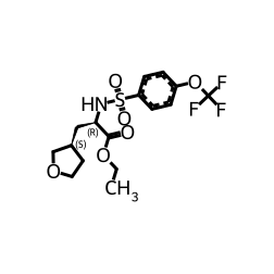 CCOC(=O)[C@@H](C[C@H]1CCOC1)NS(=O)(=O)c1ccc(OC(F)(F)F)cc1